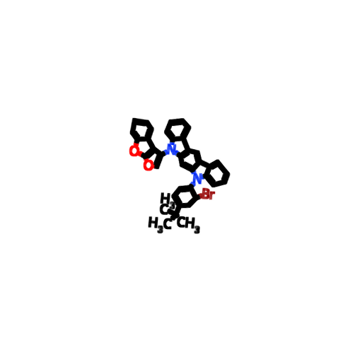 CC(C)(C)C1=CC=C(n2c3ccccc3c3cc4c5ccccc5n(-c5coc6oc7ccccc7c56)c4cc32)C(Br)C1